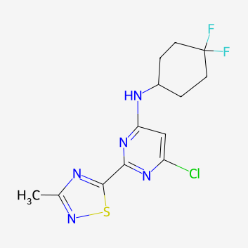 Cc1nsc(-c2nc(Cl)cc(NC3CCC(F)(F)CC3)n2)n1